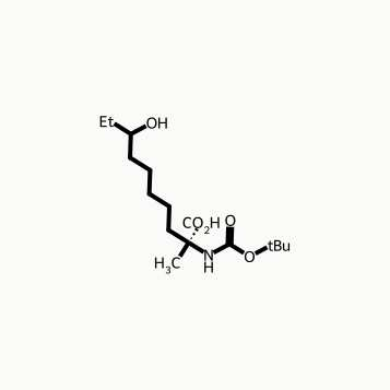 CCC(O)CCCCC[C@](C)(NC(=O)OC(C)(C)C)C(=O)O